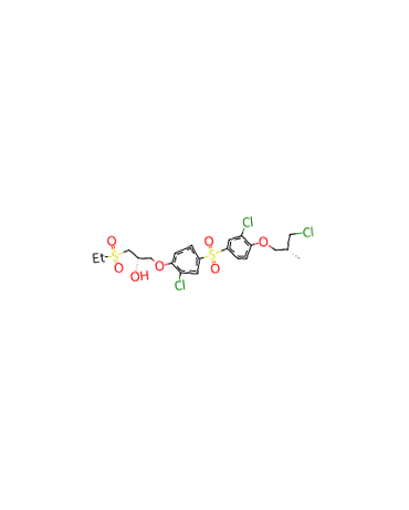 CCS(=O)(=O)C[C@@H](O)COc1ccc(S(=O)(=O)c2ccc(OC[C@@H](C)CCl)c(Cl)c2)cc1Cl